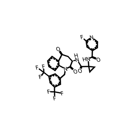 O=C(NC1(C(=O)N[C@@H]2CC(=O)c3ccccc3N(Cc3cc(C(F)(F)F)cc(C(F)(F)F)c3)C2=O)CC1)c1ccnc(F)c1